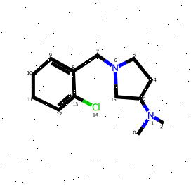 CN(C)C1CCN(CC2=C[CH]CC=C2Cl)C1